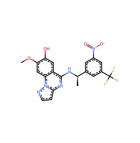 COc1cc2c(cc1O)c(N[C@H](C)c1cc([N+](=O)[O-])cc(C(F)(F)F)c1)nc1ccnn12